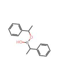 CC(OB(O)C(C)c1ccccc1)c1ccccc1